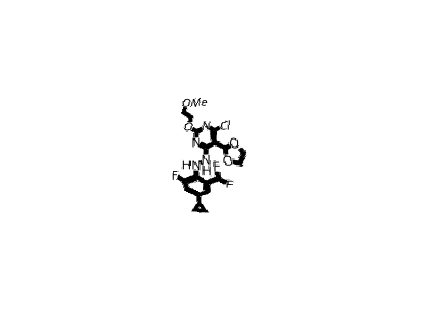 COCCOc1nc(Cl)c(C2OCCO2)c(NNc2c(F)cc(C3CC3)cc2C(F)F)n1